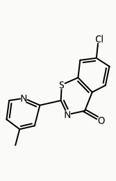 Cc1ccnc(-c2nc(=O)c3ccc(Cl)cc3s2)c1